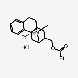 CCC(=O)OCC1CC2C3Cc4ccccc4[C@]2(CC)CC1N3C.Cl